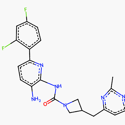 Cc1nccc(CC2CN(C(=O)Nc3nc(-c4ccc(F)cc4F)ccc3N)C2)n1